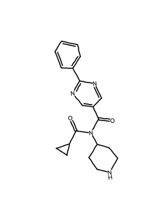 O=C(c1cnc(-c2ccccc2)nc1)N(C(=O)C1CC1)C1CCNCC1